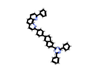 c1ccc(-c2ccc3ccc4ccc(-c5ccc(-c6ccc7cc(-c8nc(-c9ccccc9)nc(-c9ccccc9)n8)ccc7c6)cc5)nc4c3n2)cc1